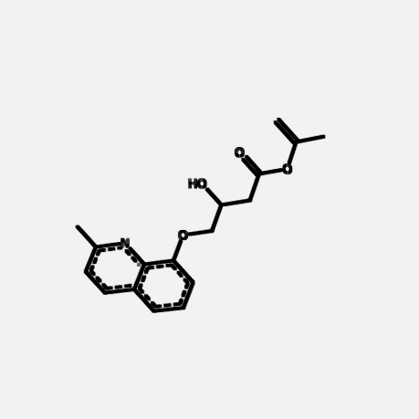 C=C(C)OC(=O)CC(O)COc1cccc2ccc(C)nc12